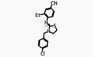 CCc1cc(C#N)ccc1/N=C1\SCCN1Cc1ccc(Cl)cc1